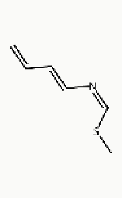 C=C/C=C/N=C\SC